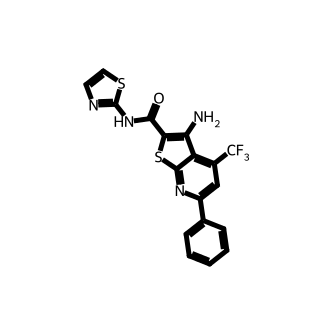 Nc1c(C(=O)Nc2nccs2)sc2nc(-c3ccccc3)cc(C(F)(F)F)c12